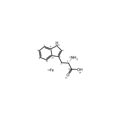 N[C@@H](Cc1c[nH]c2ccccc12)C(=O)O.[Fe]